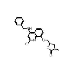 CN1CC(COc2nccc3c(NCc4ccccc4)cc(Cl)nc23)OC1=O